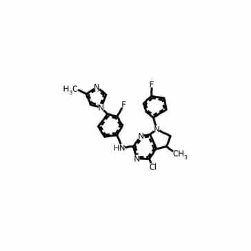 Cc1cn(-c2ccc(Nc3nc(Cl)c4c(n3)N(c3ccc(F)cc3)CC4C)cc2F)cn1